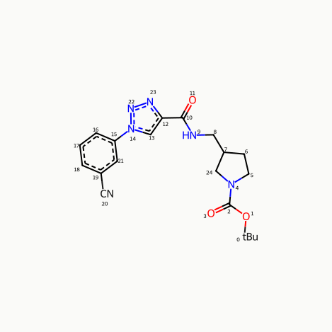 CC(C)(C)OC(=O)N1CCC(CNC(=O)c2cn(-c3cccc(C#N)c3)nn2)C1